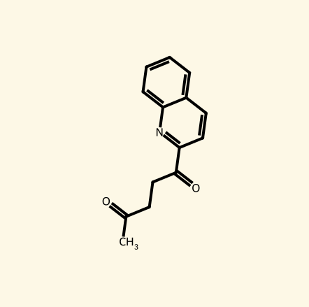 CC(=O)CCC(=O)c1ccc2ccccc2n1